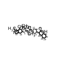 COC(=O)[C@@H](Cc1cc(C)c2c(cnn2C)c1)N(C)C(=O)N1CCC(c2cc3ccccc3[nH]c2=O)CC1